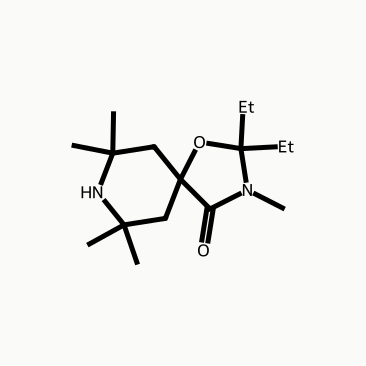 CCC1(CC)OC2(CC(C)(C)NC(C)(C)C2)C(=O)N1C